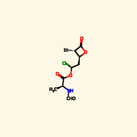 CC[C@@H]1C(=O)O[C@H]1C[C@H](Cl)OC(=O)[C@H](C)NC=O